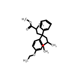 CCOc1ccc(C(CC(C)CC)(CC(C)C(=O)OC)c2ccccc2)cc1